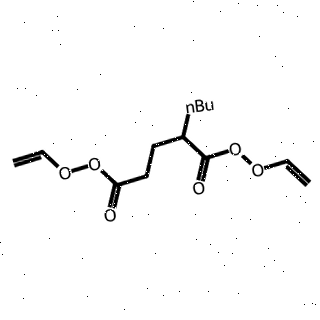 C=COOC(=O)CCC(CCCC)C(=O)OOC=C